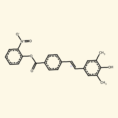 Cc1cc(/C=C/c2ccc(C(=O)Oc3ccccc3[N+](=O)[O-])cc2)cc(C)c1O